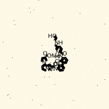 COC(=O)[C@@H]1CCN([C@H]2CCCn3nc(C(=O)Nc4cccc(-c5cccc(NC(=O)c6ccc(CNCCO)cn6)c5Cl)c4Cl)cc32)C1